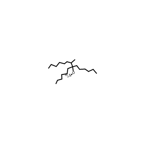 CCCCCCC(C)C(CCCCCC)(CCCCCC)O[SiH3]